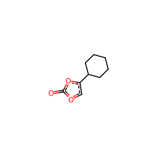 O=c1occ(C2CCCCC2)o1